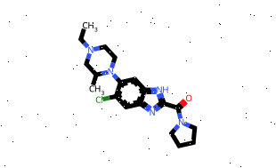 CCN1CCN(c2cc3[nH]c(C(=O)N4CCCC4)nc3cc2Cl)C(C)C1